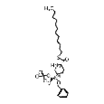 CCCCCCCCCCCCSC(=O)[C@@H]1CC[C@@H](N(OCc2ccccc2)C(=O)OC(Cl)(Cl)Cl)CN1